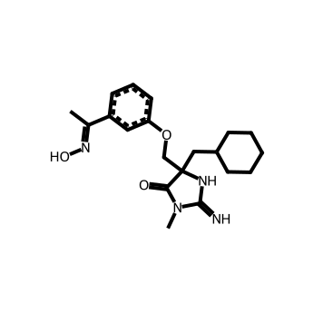 CC(=NO)c1cccc(OCC2(CC3CCCCC3)NC(=N)N(C)C2=O)c1